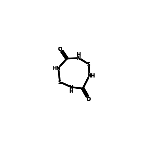 O=C1NSNC(=O)NSN1